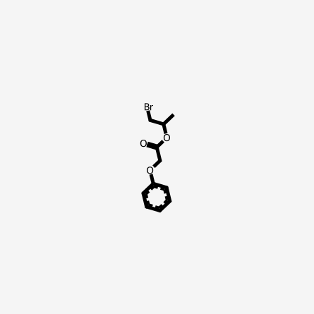 CC(CBr)OC(=O)COc1ccccc1